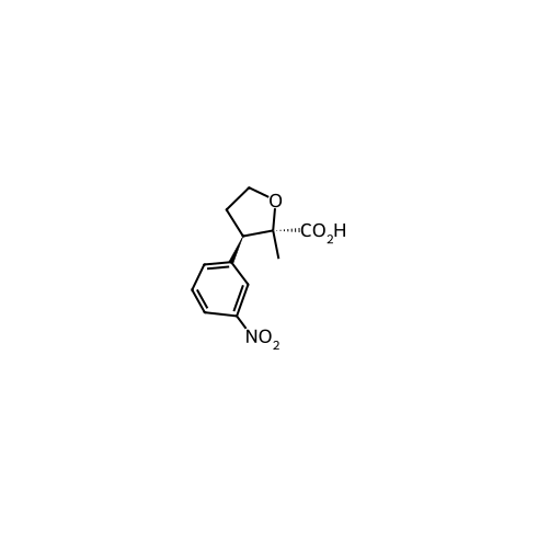 C[C@]1(C(=O)O)OCC[C@@H]1c1cccc([N+](=O)[O-])c1